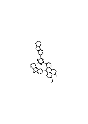 C=Cc1ccc2c(-c3ccc4oc5cccc(-c6nc(-c7ccccc7)nc(-c7ccc8c(c7)sc7ccccc78)n6)c5c4c3)ccc3c2c1C(C)=CC3